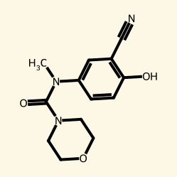 CN(C(=O)N1CCOCC1)c1ccc(O)c(C#N)c1